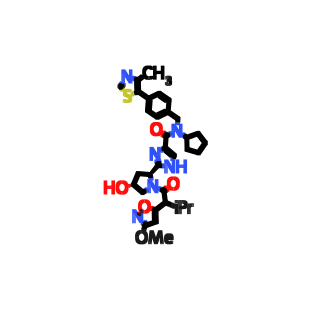 COc1cc(C(C(=O)N2C[C@H](O)C[C@H]2c2nc(C(=O)N(Cc3ccc(-c4scnc4C)cc3)C3CCCC3)c[nH]2)C(C)C)on1